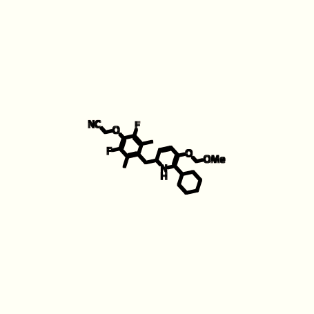 COCOC1=C(C2CCCCC2)NC(Cc2c(C)c(F)c(OCC#N)c(F)c2C)C=C1